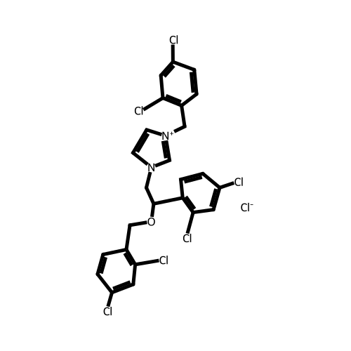 Clc1ccc(COC(Cn2cc[n+](Cc3ccc(Cl)cc3Cl)c2)c2ccc(Cl)cc2Cl)c(Cl)c1.[Cl-]